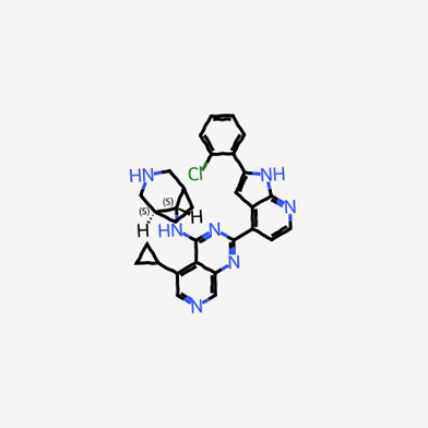 Clc1ccccc1-c1cc2c(-c3nc(N[C@H]4C5CC[C@H]4CNC5)c4c(C5CC5)cncc4n3)ccnc2[nH]1